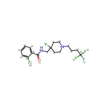 O=C(NCC1(F)CCN(CCCC(F)(F)F)CC1)c1ccccc1Cl